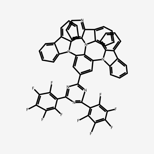 Fc1c(F)c(F)c(-c2nc(-c3cc(-n4c5ccccc5c5ccccc54)c(-n4c5ccccc5c5ncccc54)c(-n4c5ccccc5c5ccccc54)c3)nc(-c3c(F)c(F)c(F)c(F)c3F)n2)c(F)c1F